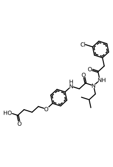 CC(C)CN(NC(=O)Cc1cccc(Cl)c1)C(=O)CNc1ccc(OCCCC(=O)O)cc1